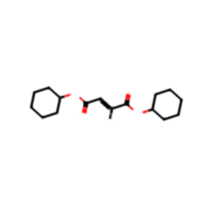 CC(C)(C)/C(=C\C(=O)OC1CCCCC1)C(=O)OC1CCCCC1